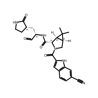 CC1(C)[C@@H]2[C@@H](C(=O)N[C@H](C=O)C[C@@H]3CCNC3=O)N(C(=O)c3cc4ccc(C#N)cc4[nH]3)C[C@@H]21